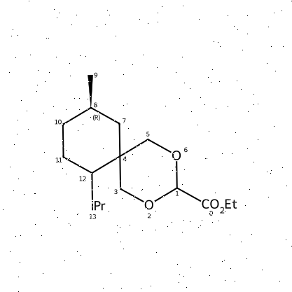 CCOC(=O)C1OCC2(CO1)C[C@H](C)CCC2C(C)C